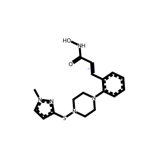 Cn1ccc(SN2CCN(c3ccccc3/C=C/C(=O)NO)CC2)n1